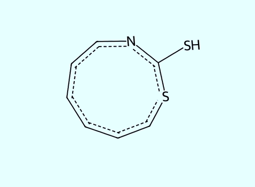 Sc1nccccccs1